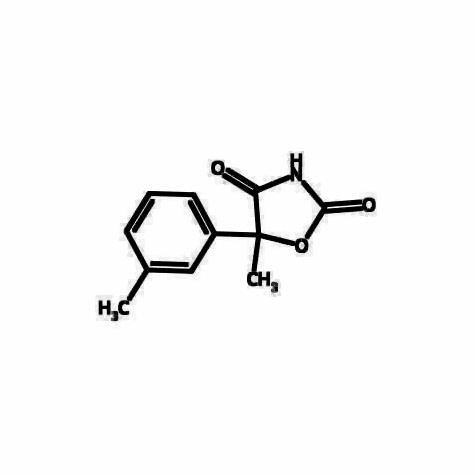 Cc1cccc(C2(C)OC(=O)NC2=O)c1